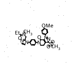 CCC(=O)N(C)Cc1nccn1-c1ccc(N2CCc3c(S(C)(=O)=O)nn(-c4ccc(OC)cc4)c3C2=O)cc1